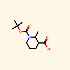 CC1C(C(=O)O)CCCN1C(=O)OC(C)(C)C